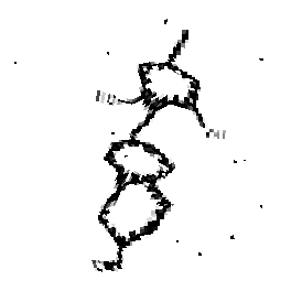 Cc1cc(O)c(-c2ccc3cc(C=O)ccc3c2)c(O)c1